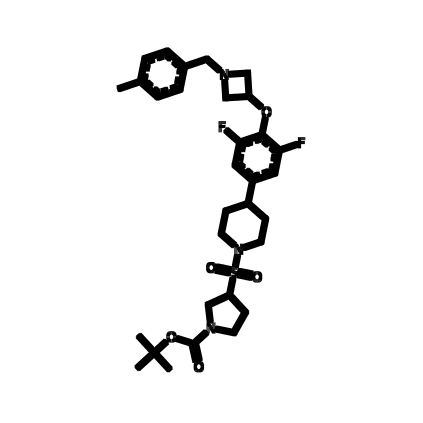 Cc1ccc(CN2CC(Oc3c(F)cc(C4CCN(S(=O)(=O)C5CCN(C(=O)OC(C)(C)C)C5)CC4)cc3F)C2)cc1